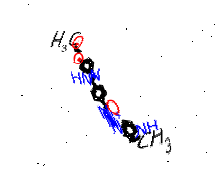 COCCOc1ccc2nc(-c3ccc(C(=O)N=[N+]=Nc4ccc5[nH]c(C)cc5c4)cc3)[nH]c2c1